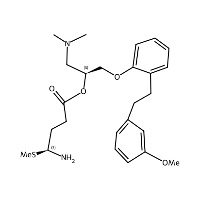 COc1cccc(CCc2ccccc2OC[C@H](CN(C)C)OC(=O)CC[C@@H](N)SC)c1